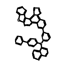 c1ccc(-c2ccc(N(c3cccc(-c4ccc5c6ccccc6c6c(ccc7oc8ccccc8c76)c5c4)c3)c3cccc4ccccc34)cc2)cc1